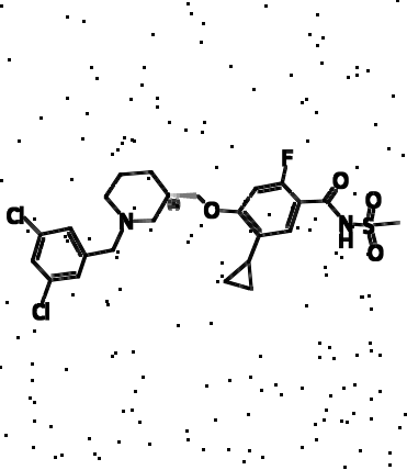 CS(=O)(=O)NC(=O)c1cc(C2CC2)c(OC[C@H]2CCCN(Cc3cc(Cl)cc(Cl)c3)C2)cc1F